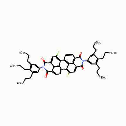 CCCCCCCCCCCCc1cc(N2C(=O)c3ccc4c5c(F)cc6c7c(ccc(c8c(F)cc(c3c48)C2=O)c75)C(=O)N(c2cc(CCCCCCCCCCCC)c(CCCCCCCCCCCC)c(CCCCCCCCCCCC)c2)C6=O)cc(CCCCCCCCCCCC)c1CCCCCCCCCCCC